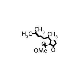 COC(=O)[C@@H]1C(=O)CC[C@H]1[C@H](C)CCC=C(C)C